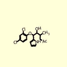 CC(=O)CC(C)C(O)C(Oc1ccc(Cl)cc1Cl)c1ccc[nH]1